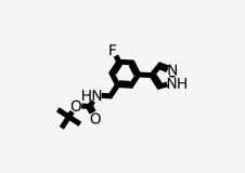 CC(C)(C)OC(=O)NCc1cc(F)cc(-c2cn[nH]c2)c1